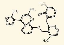 Cc1cc(-c2conc2C)c2cccc(OCc3c(C)ccnc3Cn3cccc(C(F)(F)F)c3=O)c2n1